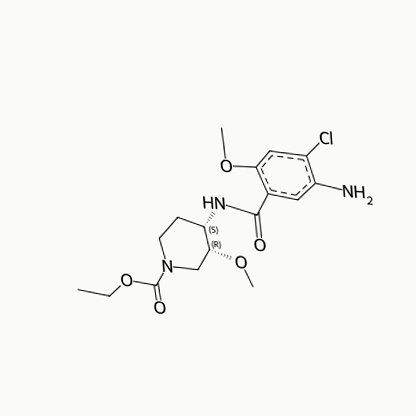 CCOC(=O)N1CC[C@H](NC(=O)c2cc(N)c(Cl)cc2OC)[C@H](OC)C1